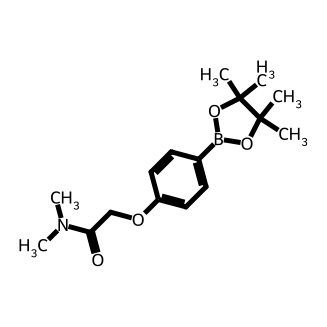 CN(C)C(=O)COc1ccc(B2OC(C)(C)C(C)(C)O2)cc1